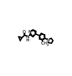 Cc1cc(-c2ccnc(NC(=O)C3CC3)c2)ccc1N1CCCC1